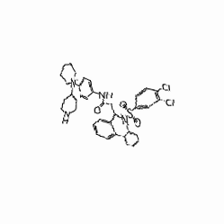 O=C(CC1c2ccccc2-c2ccccc2N1S(=O)(=O)c1ccc(Cl)c(Cl)c1)Nc1ccc([N+]2(C3CCNCC3)CCCCC2)cc1